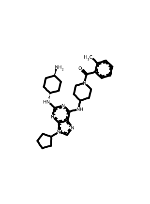 Cc1ccccc1C(=O)N1CCC(Nc2nc(N[C@H]3CC[C@H](N)CC3)nc3c2ncn3C2CCCC2)CC1